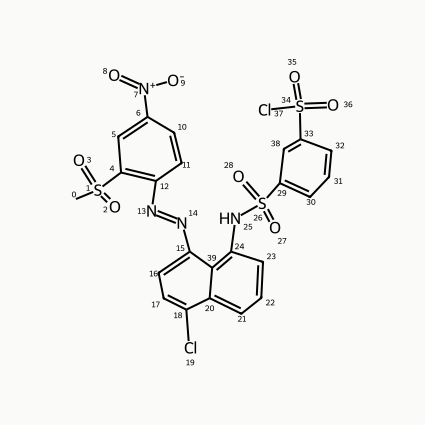 CS(=O)(=O)c1cc([N+](=O)[O-])ccc1N=Nc1ccc(Cl)c2cccc(NS(=O)(=O)c3cccc(S(=O)(=O)Cl)c3)c12